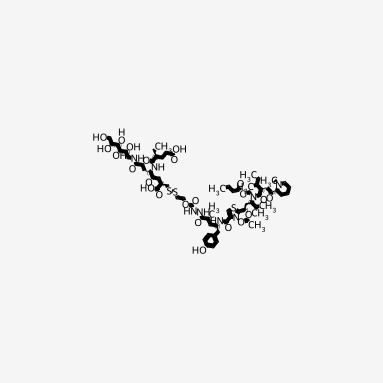 CCCC(=O)OCN(C(=O)[C@@H](CC(=O)[C@H]1CCCCN1C)C(C)CC)[C@H](C[C@@H](OC(C)=O)c1nc(C(=O)N[C@@H](Cc2ccc(O)cc2)C[C@H](C)C(=O)NNC(=O)OCCSSC[C@H](CC(=O)[C@H](CCC(=O)NC[C@H](O)[C@@H](O)[C@H](O)[C@H](O)CO)NC(=O)[C@@H](CC)CCC(=O)O)C(=O)O)cs1)C(C)C